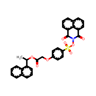 CC(OC(=O)COc1ccc(S(=O)(=O)ON2C(=O)c3cccc4cccc(c34)C2=O)cc1)c1cccc2ccccc12